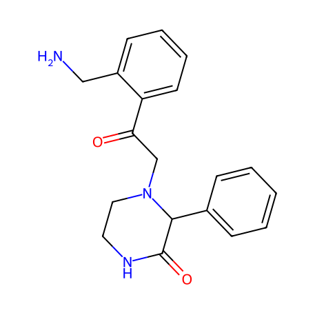 NCc1ccccc1C(=O)CN1CCNC(=O)C1c1ccccc1